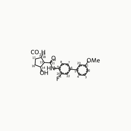 COc1cccc(-c2ccc(NC(=O)C3C(O)CCC3C(=O)O)c(F)c2)c1